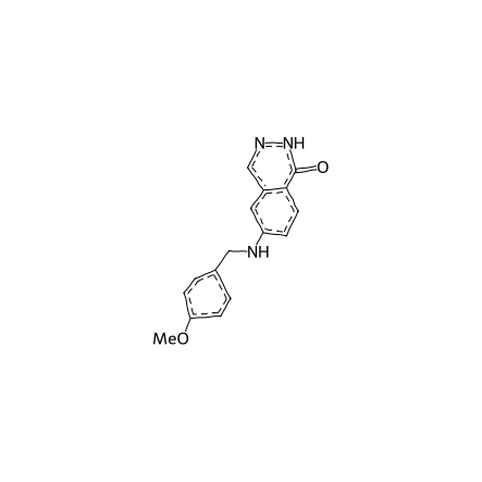 COc1ccc(CNc2ccc3c(=O)[nH]ncc3c2)cc1